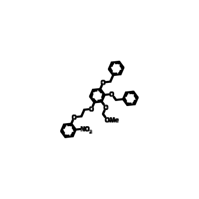 COCOc1c(OCCOc2ccccc2[N+](=O)[O-])ccc(OCc2ccccc2)c1OCc1ccccc1